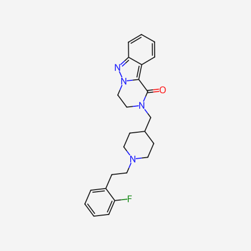 O=C1c2c3ccccc3nn2CCN1CC1CCN(CCc2ccccc2F)CC1